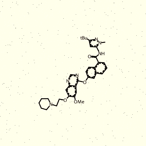 COc1cc2c(Oc3ccc4c(C(=O)Nc5cc(C(C)(C)C)nn5C)cccc4c3)ncnc2cc1OCCN1CCCCC1